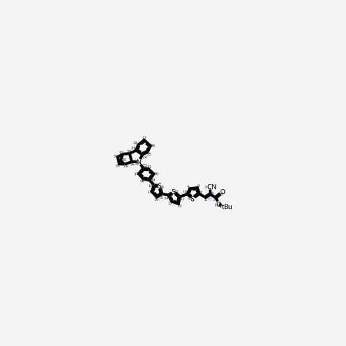 CC(C)(C)OC(=O)/C(C#N)=C/c1ccc(-c2ccc(-c3ccc(-c4ccc(N5c6ccccc6C6C7CCC(C7)C65)cc4)s3)s2)s1